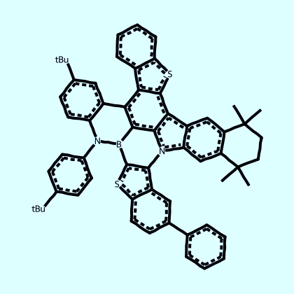 CC(C)(C)c1ccc(N2B3c4sc5ccc(-c6ccccc6)cc5c4-n4c5cc6c(cc5c5c7sc8ccccc8c7c(c3c54)-c3cc(C(C)(C)C)ccc32)C(C)(C)CCC6(C)C)cc1